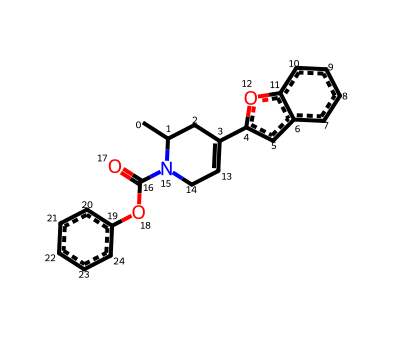 CC1CC(c2cc3ccccc3o2)=CCN1C(=O)Oc1ccccc1